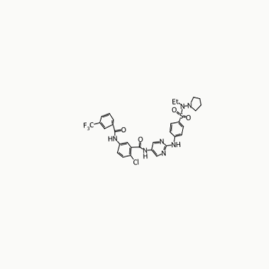 CCN(N1CCCC1)S(=O)(=O)c1ccc(Nc2ncc(NC(=O)c3cc(NC(=O)c4cccc(C(F)(F)F)c4)ccc3Cl)cn2)cc1